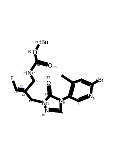 Cc1cc(Br)ncc1-n1cnn(C/C(=C/F)CNC(=O)OC(C)(C)C)c1=O